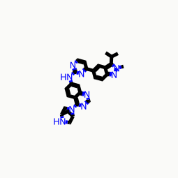 CC(C)c1c2cc(-c3ccnc(Nc4ccc5c(N6CC7CC6CN7)ncnc5c4)n3)ccc2nn1C